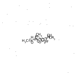 CCOC(=O)CCNC(=O)C(CC(C)C)n1cc(CCN(C)C)c(C(F)(F)F)cc1=O